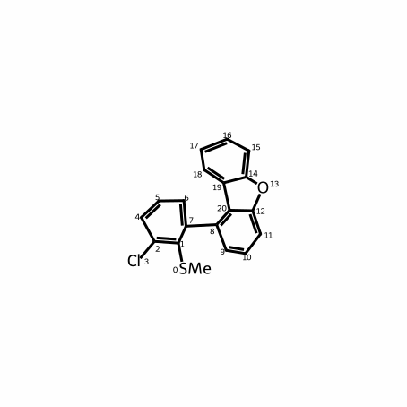 CSc1c(Cl)cccc1-c1cccc2oc3ccccc3c12